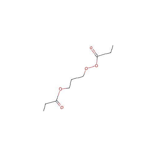 CCC(=O)OCCCOOC(=O)CC